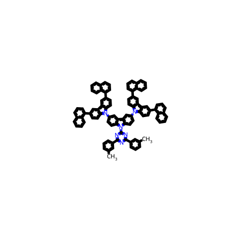 Cc1cccc(-c2nc(-c3cccc(C)c3)nc(-n3c4ccc(-n5c6ccc(-c7cccc8ccccc78)cc6c6cc(-c7cccc8ccccc78)ccc65)cc4c4cc(-n5c6ccc(-c7cccc8ccccc78)cc6c6cc(-c7cccc8ccccc78)ccc65)ccc43)n2)c1